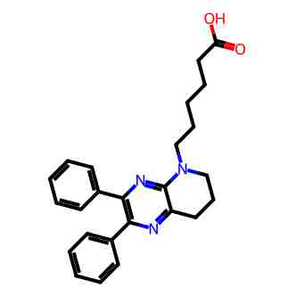 O=C(O)CCCCCN1CCCc2nc(-c3ccccc3)c(-c3ccccc3)nc21